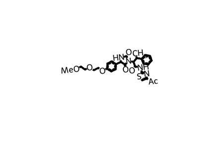 COCCOCCOc1ccc(C2NC(=O)N(C(C(=O)Nc3nc(C(C)=O)cs3)C(C)c3ccccc3)C2=O)cc1